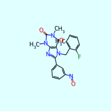 Cc1cccc(F)c1Cn1c(-c2cccc(N=O)c2)nc2c1c(=O)n(C)c(=O)n2C